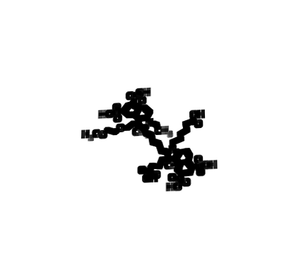 CCN1c2ccc3c(S(=O)(=O)O)cc(S(=O)(=O)O)cc3c2C(C)(CCOCCOC)C1C=CC=CC=C1N(CCCCCC(=O)O)c2ccc3c(S(=O)(=O)O)cc(S(=O)(=O)O)cc3c2C1(C)CCCS(=O)(=O)O